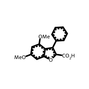 COc1cc(OC)c2c(-c3ccccc3)c(C(=O)O)oc2c1